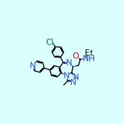 CCNC(=O)C[C@@H]1N=C(c2ccc(Cl)cc2)c2cc(-c3ccncc3)ccc2-n2c(C)nnc21